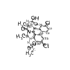 CCS(=O)(=O)CC[C@H](C)N1C(=O)[C@@](C)(CC(=O)O)C[C@H](c2cccc(Cl)c2)[C@H]1c1ccc(Cl)cc1